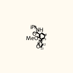 COc1c(C(=O)NC(C)C)cccc1N1C=COC1